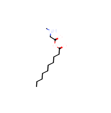 CCCCCCCCCC(=O)OC(=O)CNC